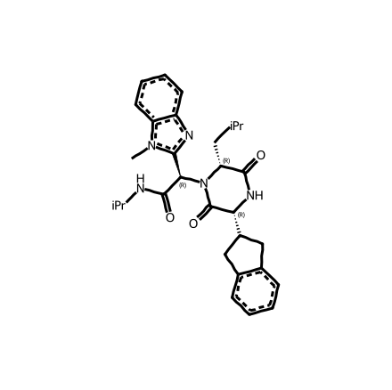 CC(C)C[C@@H]1C(=O)N[C@H](C2Cc3ccccc3C2)C(=O)N1[C@@H](C(=O)NC(C)C)c1nc2ccccc2n1C